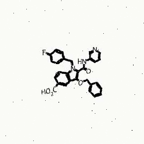 O=C(O)c1ccc2c(c1)c(OCc1ccccc1)c(C(=O)Nc1cccnc1)n2Cc1ccc(F)cc1